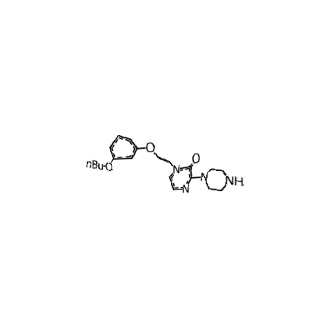 CCCCOc1cccc(OCCn2ccnc(N3CCNCC3)c2=O)c1